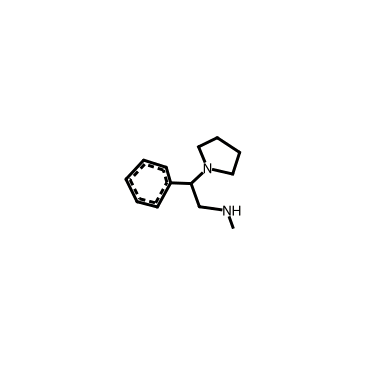 CNCC(c1ccccc1)N1CCCC1